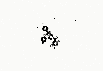 Cc1ccc(Nc2c(-c3ccc(F)cc3)nc3n2CCN(C(=O)C2=CC(=O)NC[NH+]2[O-])C3)cc1